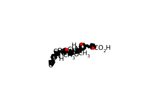 Cc1c(NC(=O)c2nc3c(n2C)CCC(CCC24CCC(C(=O)O)(CC2)C4)CCC3)cccc1-c1cccc(NC(=O)c2nc3c(n2C)CCN(C2CCOCC2)C3)c1C